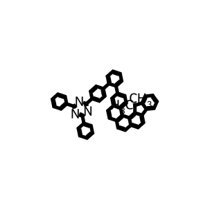 CC1(C)c2ccccc2-c2ccc3ccc4ccc5cc(-c6ccccc6-c6ccc(-c7nc(-c8ccccc8)nc(-c8ccccc8)n7)cc6)ccc5c4c3c21